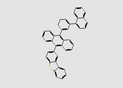 C1=C(c2cccc3ccccc23)C=C(c2c3ccccc3c(-c3ccc4sc5ccccc5c4c3)c3ccccc23)CC1